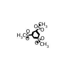 CS(=O)(=O)c1cc(S(C)(=O)=O)cc(S(C)(=O)=O)c1